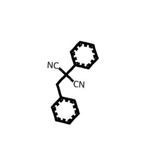 N#CC(C#N)(Cc1ccccc1)c1ccccc1